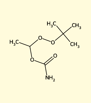 CC(OOC(C)(C)C)OC(N)=O